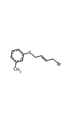 Cc1cccc(SCC=[C]CBr)c1